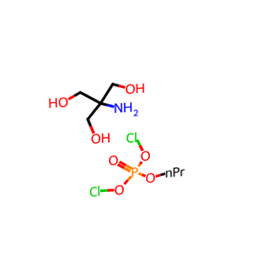 CCCOP(=O)(OCl)OCl.NC(CO)(CO)CO